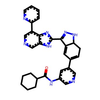 O=C(Nc1cncc(C2=CCC3NN=C(c4nc5c(-c6ccccn6)cncc5[nH]4)C3=C2)c1)C1CCCCC1